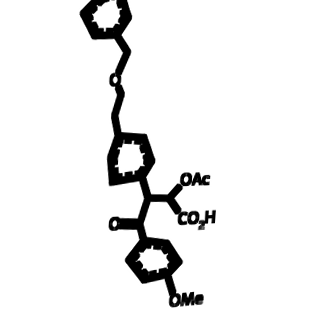 COc1ccc(C(=O)C(c2ccc(CCOCc3ccccc3)cc2)C(OC(C)=O)C(=O)O)cc1